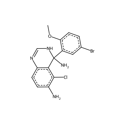 COc1ccc(Br)cc1C1(N)NC=Nc2ccc(N)c(Cl)c21